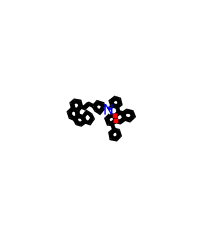 C1=Cc2ccc3ccc4cccc(C=Cc5ccc(N(c6ccc(-c7ccccc7)cc6)c6ccccc6-c6cccc7ccccc67)cc5)c4c3c2CC1